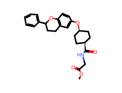 COC(=O)CNC(=O)[C@H]1CC[C@@H](Oc2ccc3c(c2)CCC(c2ccccc2)O3)CC1